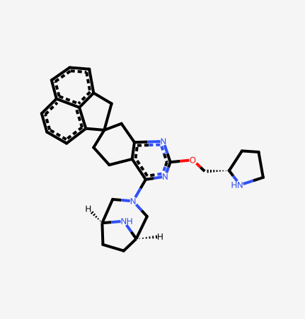 c1cc2c3c(cccc3c1)C1(CCc3c(nc(OC[C@@H]4CCCN4)nc3N3C[C@H]4CC[C@@H](C3)N4)C1)C2